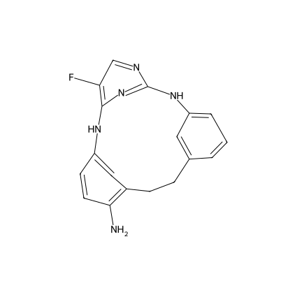 Nc1ccc2cc1CCc1cccc(c1)Nc1ncc(F)c(n1)N2